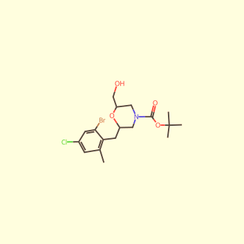 Cc1cc(Cl)cc(Br)c1CC1CN(C(=O)OC(C)(C)C)CC(CO)O1